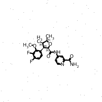 COc1c([C@H]2[C@@H](C)[C@@H](C)O[C@H]2C(=O)Nc2ccnc(C(N)=O)c2)ccc(F)c1F